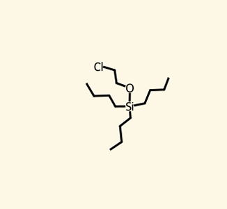 CCCC[Si](CCCC)(CCCC)OCCCl